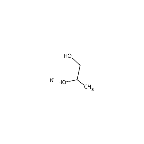 CC(O)CO.[Ni]